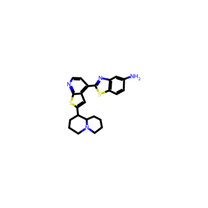 Nc1ccc2sc(-c3ccnc4sc(C5CCCN6CCCCC56)cc34)nc2c1